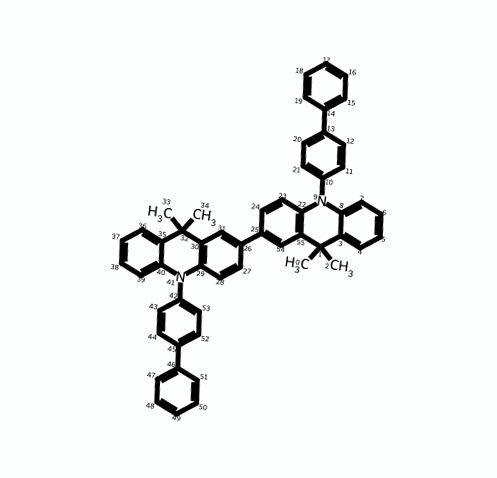 CC1(C)c2ccccc2N(c2ccc(-c3ccccc3)cc2)c2ccc(-c3ccc4c(c3)C(C)(C)c3ccccc3N4c3ccc(-c4ccccc4)cc3)cc21